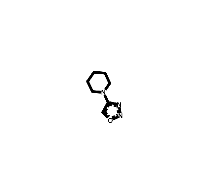 c1onnc1N1CCCCC1